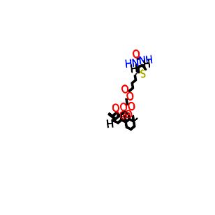 C=C1C(=O)[C@]23CC[C@H]1CC2C12CCC[C@@](C)(COC1=O)C2C[C@H]3OC(=O)COC(=O)CCCC[C@H]1SC[C@H]2NC(=O)N[C@H]21